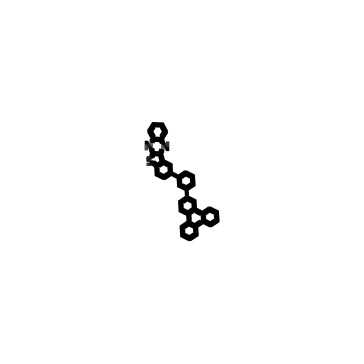 c1cc(-c2ccc3c4ccccc4c4ccccc4c3c2)cc(-c2ccc3sc4nc5ccccc5nc4c3c2)c1